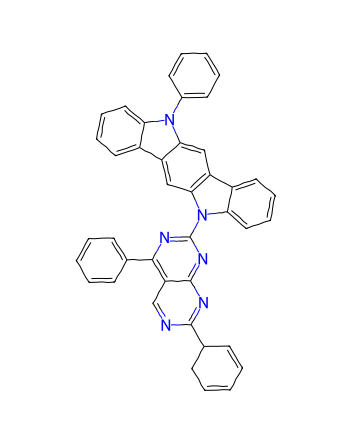 C1=CCC(c2ncc3c(-c4ccccc4)nc(-n4c5ccccc5c5cc6c(cc54)c4ccccc4n6-c4ccccc4)nc3n2)C=C1